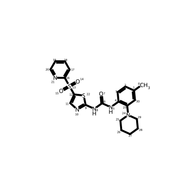 Cc1ccc(NC(=O)Nc2ncc(S(=O)(=O)c3ccccn3)s2)c(N2CCCCC2)c1